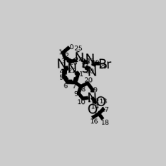 CCc1nc2ccc(C3CCN(C(=O)OC(C)(C)C)CC3)cn2c1N(C)c1nc(Br)ns1